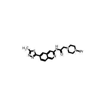 Cc1nnc(-c2ccc3cnc(NC(=O)CN4CCN(C(C)C)CC4)cc3c2)s1